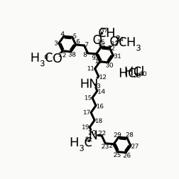 COc1cccc(CCc2c(CCNCCCCCCN(C)CCc3ccccc3)ccc(OC)c2OC)c1.Cl.Cl